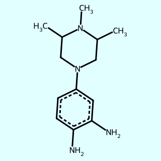 CC1CN(c2ccc(N)c(N)c2)CC(C)N1C